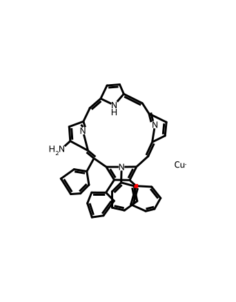 NC1=Cc2cc3ccc(cc4nc(cc5c(-c6ccccc6)c(-c6ccccc6)c(c(-c6ccccc6)c1n2)n5-c1ccccc1)C=C4)[nH]3.[Cu]